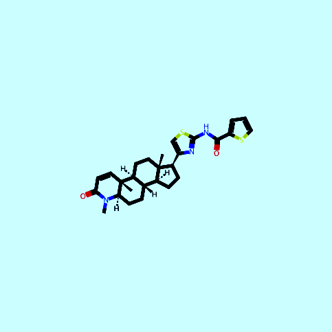 CN1C(=O)C=C[C@]2(C)[C@H]3CC[C@]4(C)[C@@H](c5csc(NC(=O)c6cccs6)n5)CC[C@H]4[C@@H]3CC[C@@H]12